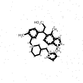 Cc1ccc(C(CC(=O)O)c2ccc3c(nnn3C)c2C)cc1CN1CCCC(Cn2cccn2)C1